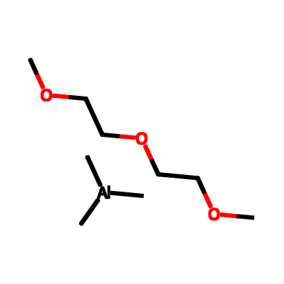 COCCOCCOC.[CH3][Al]([CH3])[CH3]